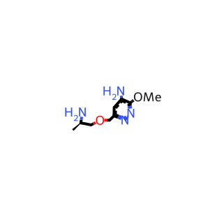 COc1nnc(COC[C@@H](C)N)cc1N